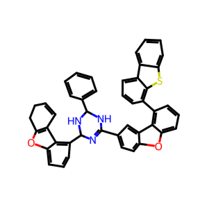 C1=Cc2c(oc3cccc(C4N=C(c5ccc6oc7cccc(-c8cccc9c8sc8ccccc89)c7c6c5)NC(c5ccccc5)N4)c23)CC1